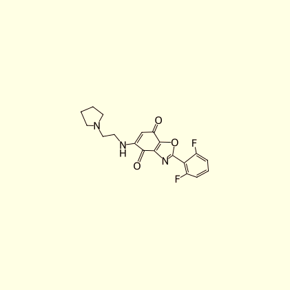 O=C1C(NCCN2CCCC2)=CC(=O)c2oc(-c3c(F)cccc3F)nc21